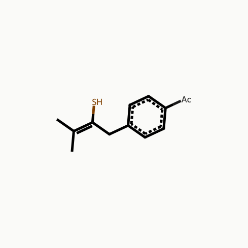 CC(=O)c1ccc(CC(S)=C(C)C)cc1